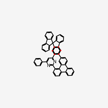 c1ccc(-c2cc(-c3ccccc3)nc(-c3cccc4c5ccccc5c5ccc(-c6ccc7c(c6)-c6ccccc6C76c7ccccc7-c7ccccc76)cc5c34)n2)cc1